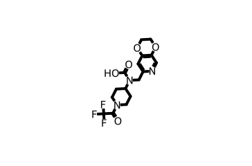 O=C(O)N(Cc1cc2c(cn1)OCCO2)C1CCN(C(=O)C(F)(F)F)CC1